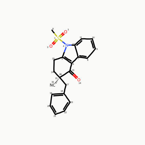 CS(=O)(=O)n1c2c(c3ccccc31)C(=O)[C@@](C#N)(Cc1ccccc1)CC2